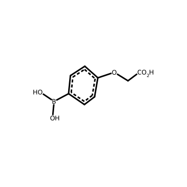 O=C(O)COc1ccc(B(O)O)cc1